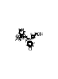 CS(=O)(=O)c1nn(Cc2nc3cc(Cl)ccc3n2C2CC(CO)C2)c2cnccc12